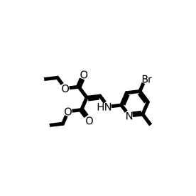 CCOC(=O)C(=CNc1cc(Br)cc(C)n1)C(=O)OCC